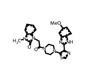 COc1ccc2[nH]c(-c3ncsc3N3CCN(C(=O)Cn4c(=O)n(C)c5ccccc54)CC3)nc2c1